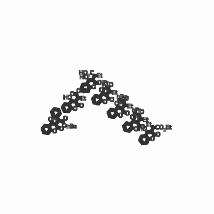 CCC(C(=O)O)c1c(O)c2ccccc2oc1=O.CCC(C(=O)OC(C)C)c1c(O)c2ccccc2oc1=O.CCC(C(=O)OC)c1c(O)c2ccccc2oc1=O.CCCCOC(=O)C(CC)c1c(O)c2ccccc2oc1=O.CCCCOC(=O)C(c1ccccc1)c1c(O)c2ccccc2oc1=O.CCCOC(=O)C(CC)c1c(O)c2ccccc2oc1=O.CCOC(=O)C(CC)c1c(O)c2ccccc2oc1=O